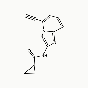 C#Cc1cccc2nc(NC(=O)C3CC3)nn12